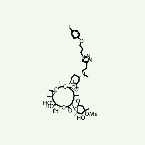 CC[C@H]1OC(=O)[C@H](C)[C@@H](O[C@H]2C[C@@](C)(OC)[C@@H](O)[C@H](C)O2)[C@H](C)[C@@H](O[C@H]2C[C@@H](N(C)CCc3cn(CCCOc4ccc(I)cc4)nn3)C[C@@H](C)O2)[C@](C)(O)C[C@@H](C)CN(C)[C@H](C)[C@@H](O)[C@]1(C)O